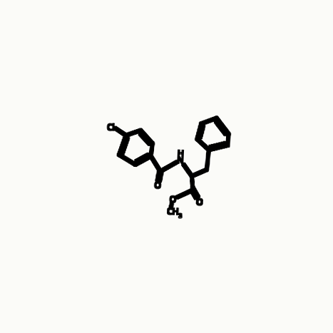 COC(=O)C(Cc1ccccc1)NC(=O)c1ccc(Cl)cc1